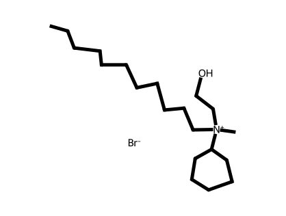 CCCCCCCCCCC[N+](C)(CCO)C1CCCCC1.[Br-]